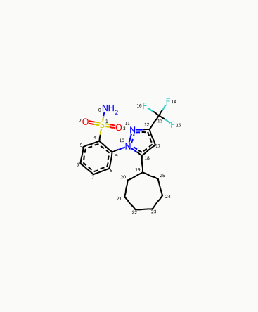 NS(=O)(=O)c1ccccc1-n1nc(C(F)(F)F)cc1C1CCCCCC1